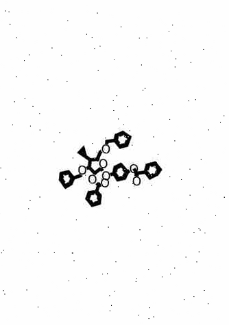 O=C(Oc1ccc(OC2OC(COCc3ccccc3)C(C3CC3)C(OCc3ccccc3)C2OC(=O)c2ccccc2)cc1)c1ccccc1